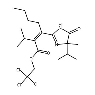 CCCCC(C1=NC(C)(C(C)C)C(=O)N1)=C(C(=O)OCC(Cl)(Cl)Cl)C(C)C